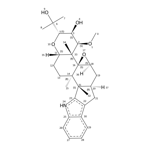 CO[C@@H]1[C@H](O)[C@@H](C(C)(C)O)O[C@H]2CC[C@@]3(C)[C@]4(O[C@H]4C[C@H]4Cc5c([nH]c6ccccc56)[C@@]43C)[C@]21C